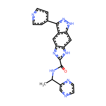 CC(NC(=O)c1nc2cc3c(-c4ccncc4)n[nH]c3cc2[nH]1)c1cnccn1